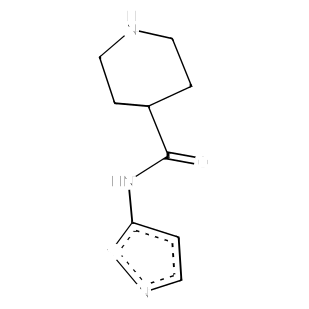 O=C(Nc1ccns1)C1CCNCC1